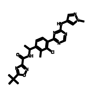 Cc1c(C(C)NC(=O)c2noc(C(C)(C)C)n2)ccc(-c2ncnc(Nc3cnn(C)c3)n2)c1Cl